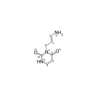 NC=CCn1c(=O)cc[nH]c1=O